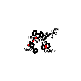 COc1ccc(CN(Cc2ccc(OC)cc2)S(=O)(=O)c2c(S(=O)(=O)CCNC(=O)OC(C)(C)C)ccc(-c3cccc4[nH]c(CNC(=O)OCc5ccccc5)nc34)c2-c2nnn(Cc3ccc(OC)cc3)n2)cc1